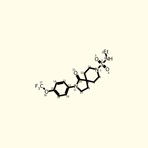 CCNS(=O)(=O)N1CCC2(CCN(c3ccc(OC(F)(F)F)cc3)C2=O)CC1